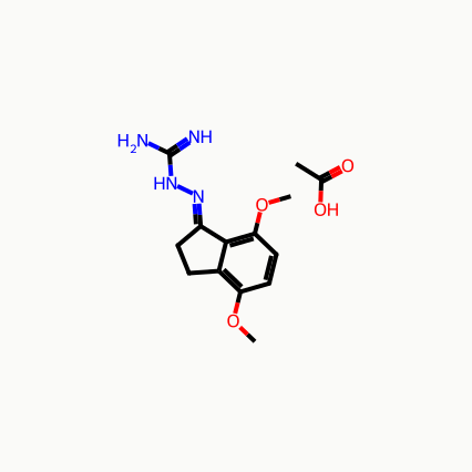 CC(=O)O.COc1ccc(OC)c2c1CCC2=NNC(=N)N